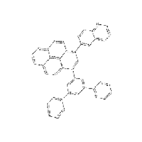 c1ccc(-c2cc(-c3ccccc3)cc(-c3cc(-c4ccc5ncccc5c4)c4ccc5cccc6ccc3c4c65)c2)cc1